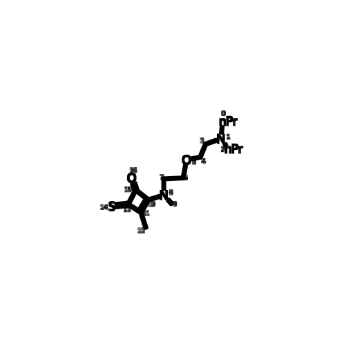 CCCN(CCC)CCOCCN(C)c1c(C)c(=S)c1=O